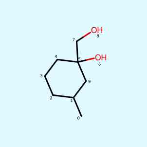 CC1CCCC(O)(CO)C1